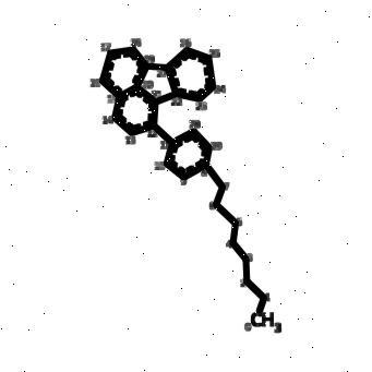 CCCCCCCCc1ccc(-c2ccc3cccc4c3c2-c2ccccc2-4)cc1